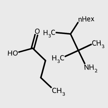 CCCC(=O)O.CCCCCCC(C)C(C)(C)N